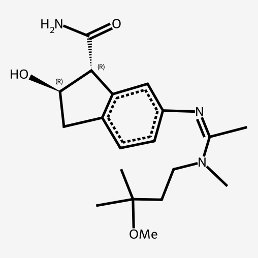 COC(C)(C)CCN(C)C(C)=Nc1ccc2c(c1)[C@@H](C(N)=O)[C@H](O)C2